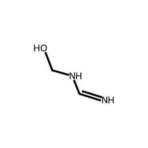 N=CNCO